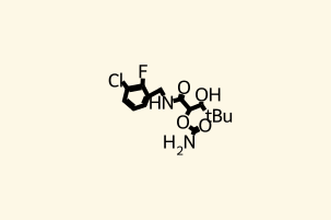 CC(C)(C)C(O)C(OC(N)=O)C(=O)NCc1cccc(Cl)c1F